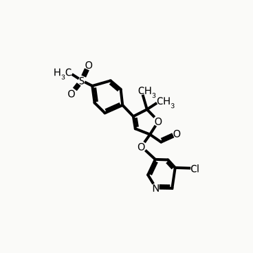 CC1(C)OC(C=O)(Oc2cncc(Cl)c2)C=C1c1ccc(S(C)(=O)=O)cc1